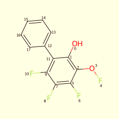 Oc1c(OF)c(F)c(F)c(F)c1-c1ccccc1